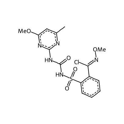 CON=C(Cl)c1ccccc1S(=O)(=O)NC(=O)Nc1nc(C)cc(OC)n1